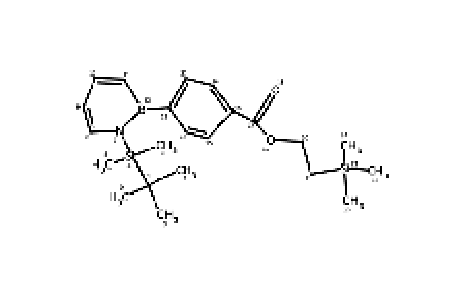 CC(C)(C)[Si](C)(C)N1C=CC=CB1c1ccc(C(=O)OCC[Si](C)(C)C)cc1